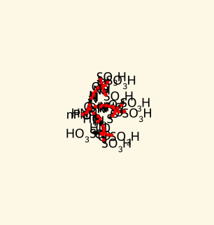 CCCNC(=O)c1cc(OCCCCc2cn(CCCNC(=O)c3cc(OCCCS(=O)(=O)O)c(OCCCS(=O)(=O)O)c(OCCCS(=O)(=O)O)c3)nn2)c(OCCCCc2cn(CCCNC(=O)c3cc(OCCCS(=O)(=O)O)c(OCCCS(=O)(=O)O)c(OCCCS(=O)(=O)O)c3)nn2)c(OCCCCc2cn(CCCNC(=O)c3cc(OCCCS(=O)(=O)O)c(OCCCS(=O)(=O)O)c(OCCCS(=O)(=O)O)c3)nn2)c1